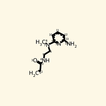 C=CC(=O)NCCN(C)c1cccc(N)n1